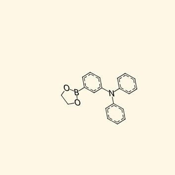 c1ccc(N(c2ccccc2)c2cccc(B3OCCO3)c2)cc1